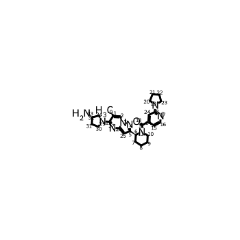 Cc1cn2nc([C@@H]3CCCCN3C(=O)c3ccnc(N4CCCC4)c3)cc2nc1N1CC[C@H](N)C1